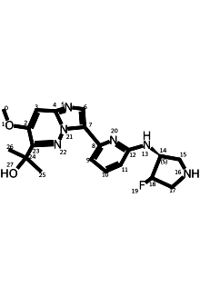 COc1cc2ncc(-c3cccc(N[C@H]4CNCC4F)n3)n2nc1C(C)(C)O